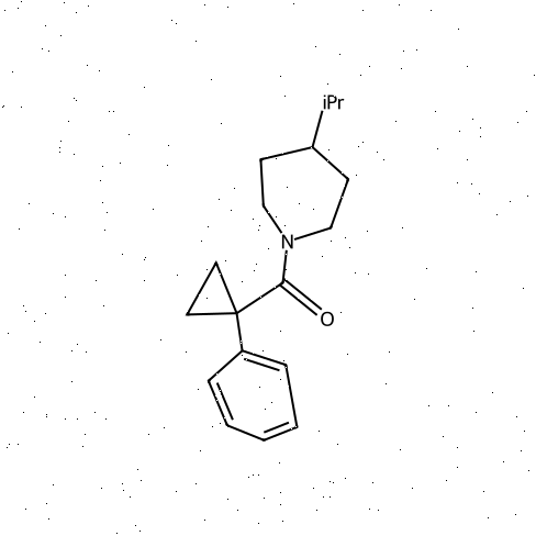 CC(C)C1CCN(C(=O)C2(c3ccccc3)CC2)CC1